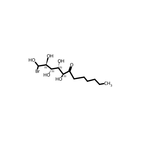 CCCCCCC(=O)[C@@H](O)[C@@H](O)[C@H](O)[C@H](O)C(O)Br